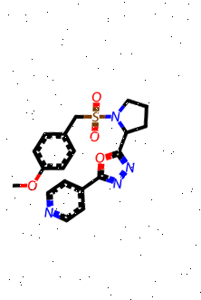 COc1ccc(CS(=O)(=O)N2CCCC2c2nnc(-c3ccncc3)o2)cc1